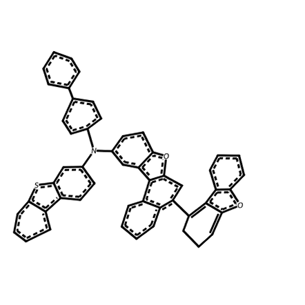 C1=c2oc3ccccc3c2=C(c2cc3oc4ccc(N(c5ccc(-c6ccccc6)cc5)c5ccc6c(c5)sc5ccccc56)cc4c3c3ccccc23)CC1